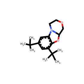 CC(C)(C)c1cc2c(c(C(C)(C)C)c1)OC1COCCN21